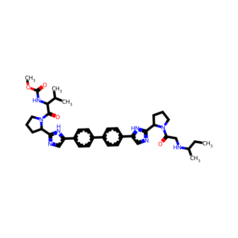 CCC(C)NCC(=O)N1CCCC1c1ncc(-c2ccc(-c3ccc(-c4cnc(C5CCCN5C(=O)C(NC(=O)OC)C(C)C)[nH]4)cc3)cc2)[nH]1